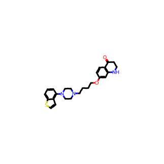 O=C1CCNc2cc(OCCCCN3CCN(c4cccc5sccc45)CC3)ccc21